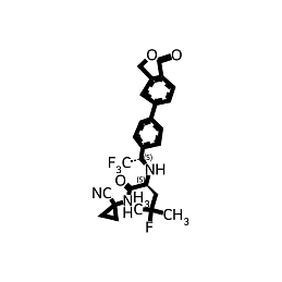 CC(C)(F)C[C@H](N[C@@H](c1ccc(-c2ccc3c(c2)COC3=O)cc1)C(F)(F)F)C(=O)NC1(C#N)CC1